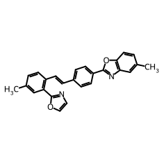 Cc1ccc(C=Cc2ccc(-c3nc4cc(C)ccc4o3)cc2)c(-c2ncco2)c1